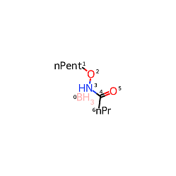 B.CCCCCONC(=O)CCC